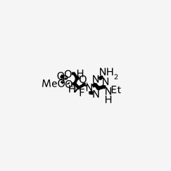 CCNc1nc(N)nc2c1ncn2[C@@H]1O[C@@H]2COP(=O)(OC)O[C@H]2[C@@]1(C)F